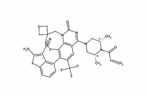 C=CC(=O)N1[C@H](C)CN(c2nc(=O)n3c4c(c(-c5cccc6sc(N)c(C#N)c56)c(C(F)(F)F)cc24)SCC2(CSC2)C3)C[C@@H]1C